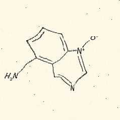 Nc1cccc2c1cnc[n+]2[O-]